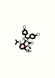 CC(C)Oc1ccccc1C1=NC(c2ccc(Cl)cc2)C(c2ccc(Cl)cc2)N1C(=O)N1CCNCC1